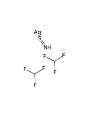 FC(F)F.FC(F)F.N=S.[Ag]